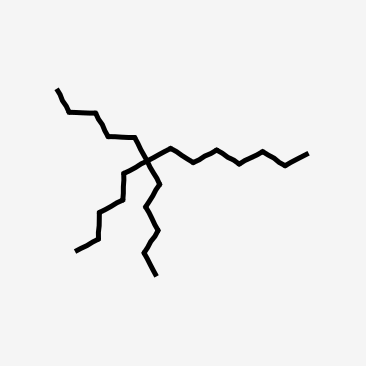 CCCCCCCC(CCCCC)(CCCCC)CCCCC